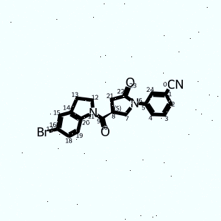 N#Cc1cccc(N2C[C@@H](C(=O)N3CCc4cc(Br)ccc43)CC2=O)c1